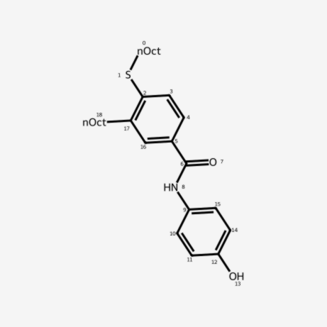 CCCCCCCCSc1ccc(C(=O)Nc2ccc(O)cc2)cc1CCCCCCCC